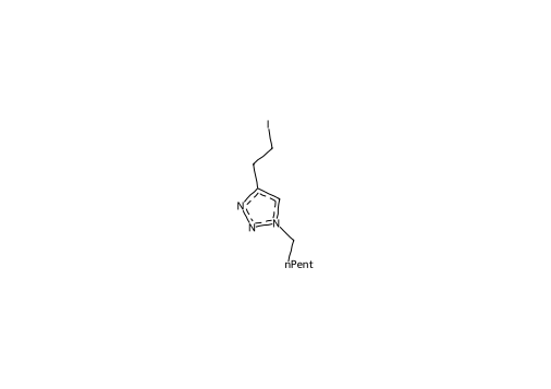 CCCCCCn1cc(CCI)nn1